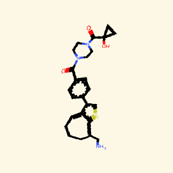 NCC1=c2scc(-c3ccc(C(=O)N4CCN(C(=O)C5(O)CC5)CC4)cc3)c2=CCCC1